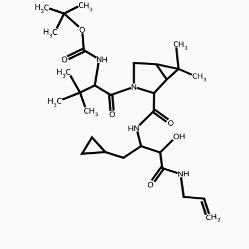 C=CCNC(=O)C(O)C(CC1CC1)NC(=O)C1C2C(CN1C(=O)C(NC(=O)OC(C)(C)C)C(C)(C)C)C2(C)C